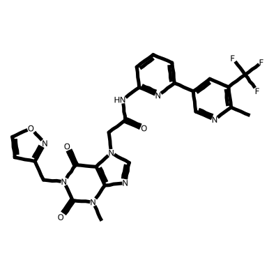 Cc1ncc(-c2cccc(NC(=O)Cn3cnc4c3c(=O)n(Cc3ccon3)c(=O)n4C)n2)cc1C(F)(F)F